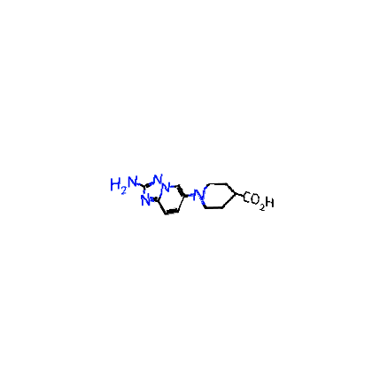 Nc1nc2ccc(N3CCC(C(=O)O)CC3)cn2n1